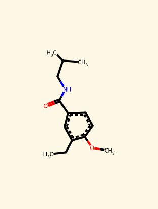 CCc1cc(C(=O)NCC(C)C)ccc1OC